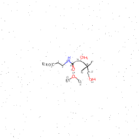 CCOC(=O)CCNC(=O)[C@H](O)C(C)(C)CO.CCOCC